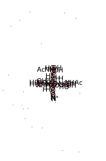 CC(=O)NC1C(OCCCCC(=O)NCCCNC(=O)CCOCC(COCCC(=O)NCCCNC(=O)CCCCOC2OC(CO)[C@H](O)C(O)C2NC(C)=O)(COCCC(=O)NCCCNC(=O)CCCCOC2OC(CO)[C@H](O)[C@H](O)C2NC(C)=O)NC(=O)CCOCCOCCOCCOCCN=[N+]=[N-])OC(CO)[C@H](O)C1O